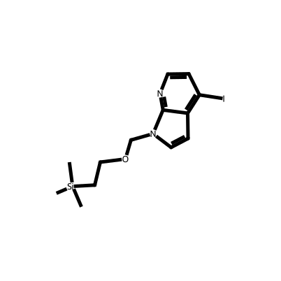 C[Si](C)(C)CCOCn1ccc2c(I)ccnc21